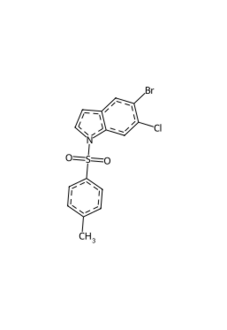 Cc1ccc(S(=O)(=O)n2ccc3cc(Br)c(Cl)cc32)cc1